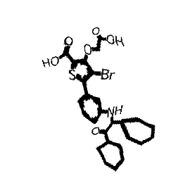 O=C(O)COc1c(C(=O)O)sc(-c2cccc(NC(C(=O)C3CCCCC3)C3CCCCC3)c2)c1Br